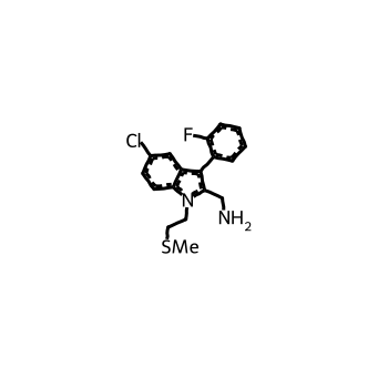 CSCCn1c(CN)c(-c2ccccc2F)c2cc(Cl)ccc21